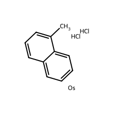 Cc1cccc2ccccc12.Cl.Cl.[Os]